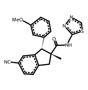 COc1cccc([C@H]2c3cc(C#N)ccc3C[C@@]2(C)C(=O)Nc2nncs2)c1